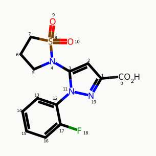 O=C(O)c1cc(N2CCCS2(=O)=O)n(-c2ccccc2F)n1